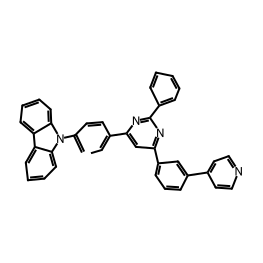 C=C(/C=C\C(=C/C)c1cc(-c2cccc(-c3ccncc3)c2)nc(-c2ccccc2)n1)n1c2ccccc2c2ccccc21